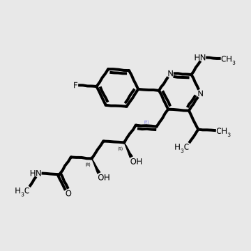 CNC(=O)C[C@H](O)C[C@H](O)/C=C/c1c(-c2ccc(F)cc2)nc(NC)nc1C(C)C